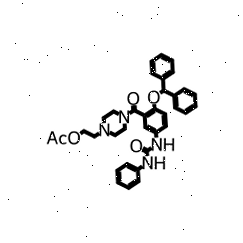 CC(=O)OCCN1CCN(C(=O)c2cc(NC(=O)Nc3ccccc3)ccc2OC(c2ccccc2)c2ccccc2)CC1